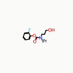 CC(C)N(CCCO)C(=O)Oc1ccccc1F